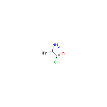 CC(C)[C@H](N)C(=O)Cl